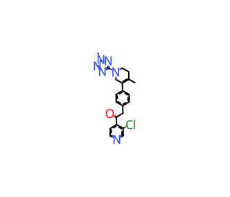 CC1=C(c2ccc(CC(=O)c3ccncc3Cl)cc2)CN(c2nnn(C)n2)CC1